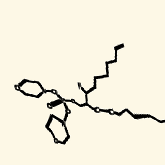 CCCCCCCCCC(COP(=O)(ON1CCOCC1)ON1CCOCC1)C(F)CCCCCCC